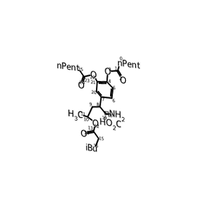 CCCCCC(=O)Oc1ccc(C(CC(C)OC(=O)CC(C)CC)[C@H](N)C(=O)O)cc1OC(=O)CCCCC